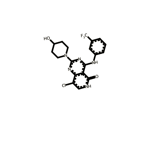 O=c1[nH]cc(Cl)c2nc(N3CCC(O)CC3)nc(Nc3cccc(C(F)(F)F)c3)c12